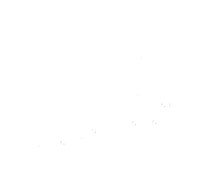 CS(=O)(=O)c1ccc(Nc2cc(OC3CCN(C(=O)c4cccc(Br)n4)CC3)ncn2)c(F)c1